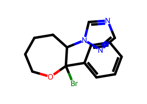 BrC1(c2ccccc2)OCCCCC1n1cncn1